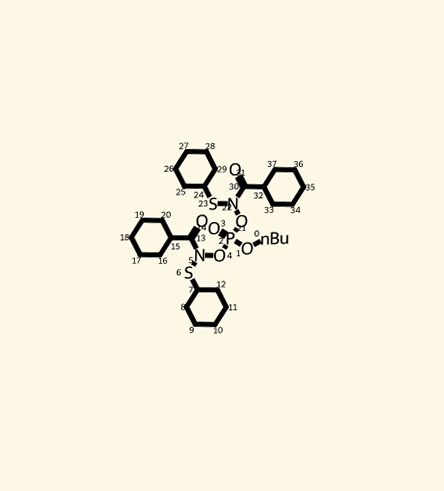 CCCCOP(=O)(ON(SC1CCCCC1)C(=O)C1CCCCC1)ON(SC1CCCCC1)C(=O)C1CCCCC1